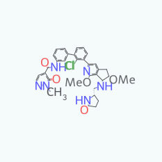 COc1nc(-c2cccc(-c3cccc(NC(=O)c4ccnn(C)c4=O)c3Cl)c2Cl)cc2c1[C@@H](NC[C@@H]1CCC(=O)N1)[C@H](OC)C2